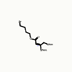 CCCCCCCCCC/C(=C\C(=O)OCCCCBr)CCCCC